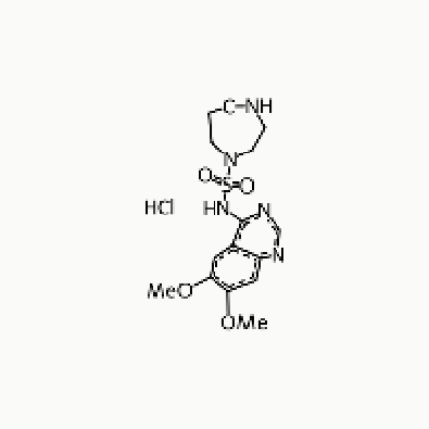 COc1cc2ncnc(NS(=O)(=O)N3CCCNCC3)c2cc1OC.Cl